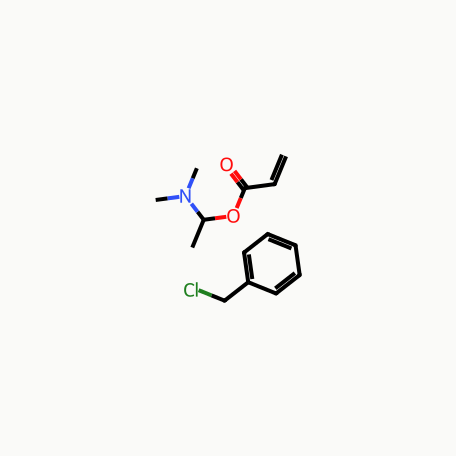 C=CC(=O)OC(C)N(C)C.ClCc1ccccc1